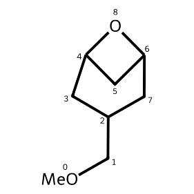 COCC1CC2CC(C1)O2